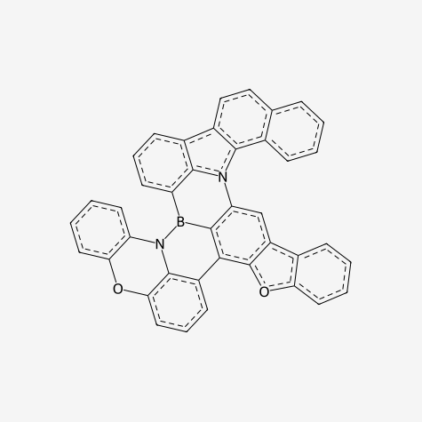 c1ccc2c(c1)Oc1cccc3c1N2B1c2c(cc4c(oc5ccccc54)c2-3)-n2c3c1cccc3c1ccc3ccccc3c12